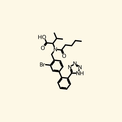 CCCCC(=O)N(Cc1ccc(-c2ccccc2-c2nnn[nH]2)cc1Br)C(C(=O)O)C(C)C